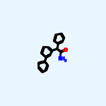 NC(=O)C(c1ccccc1)c1cccc(-c2ccccc2)c1